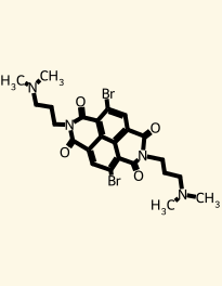 CN(C)CCCN1C(=O)c2cc(Br)c3c4c(cc(Br)c(c24)C1=O)C(=O)N(CCCN(C)C)C3=O